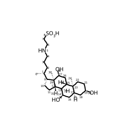 C[C@H](CCCNCCS(=O)(=O)O)[C@H]1CC[C@H]2[C@@H]3[C@H](O)C[C@@H]4C[C@H](O)CC[C@]4(C)[C@H]3C[C@H](O)[C@]12C